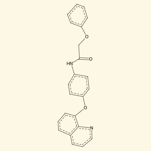 O=C(COc1ccccc1)Nc1ccc(Oc2cccc3cccnc23)cc1